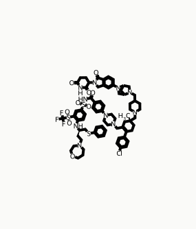 C[C@@]1(CN2CCC(CN3CC4CC3CN4c3ccc4c(c3)CN(C3CCC(=O)NC3=O)C4=O)CC2)CCC(c2ccc(Cl)cc2)=C(CN2CCN(c3ccc(C(=O)NS(=O)(=O)c4ccc(N[C@H](CCN5CCCOCC5)CSc5ccccc5)c(S(=O)(=O)C(F)(F)F)c4)cc3)CC2)C1